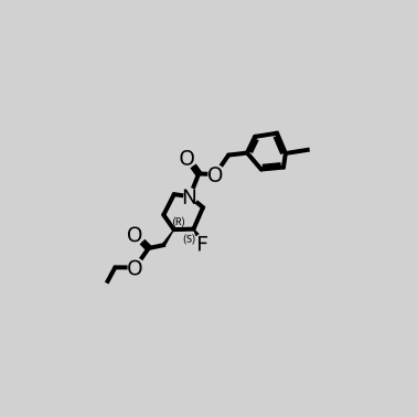 CCOC(=O)C[C@H]1CCN(C(=O)OCc2ccc(C)cc2)C[C@H]1F